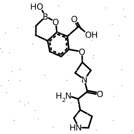 NC(C(=O)N1CC(Oc2ccc3c(c2C(=O)O)OB(O)CC3)C1)C1CCNC1